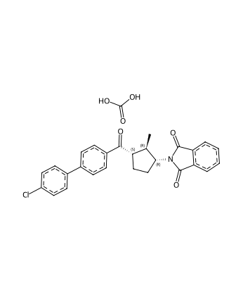 C[C@@H]1[C@@H](C(=O)c2ccc(-c3ccc(Cl)cc3)cc2)CC[C@H]1N1C(=O)c2ccccc2C1=O.O=C(O)O